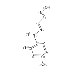 ON=CC=NN(Cl)c1ccc(C(F)(F)F)cc1Cl